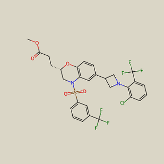 COC(=O)CC[C@H]1CN(S(=O)(=O)c2cccc(C(F)(F)F)c2)c2cc(C3CN(c4c(Cl)cccc4C(F)(F)F)C3)ccc2O1